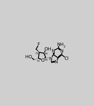 Nc1nc(Cl)c2ncn([C@@H]3O[C@H](CO)[C@@H](CF)[C@H]3O)c2n1